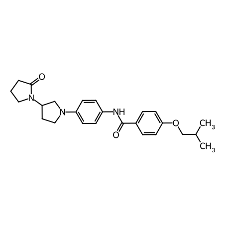 CC(C)COc1ccc(C(=O)Nc2ccc(N3CCC(N4CCCC4=O)C3)cc2)cc1